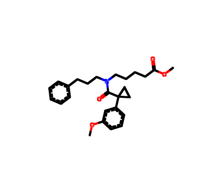 COC(=O)CCCCN(CCCc1ccccc1)C(=O)C1(c2cccc(OC)c2)CC1